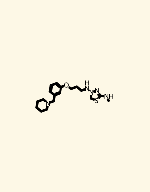 CNC1=NN(NCCCOc2cccc(CN3CCCCC3)c2)CS1